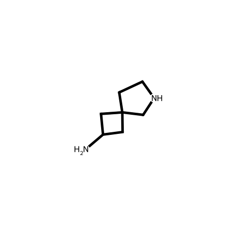 NC1CC2(CCNC2)C1